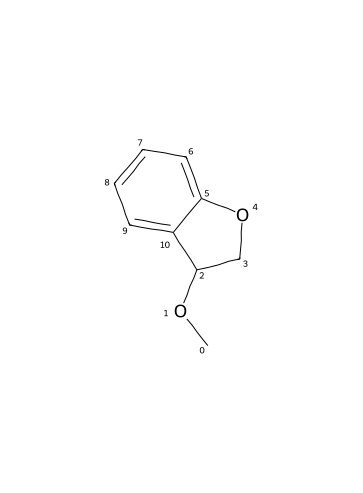 COC1COc2ccccc21